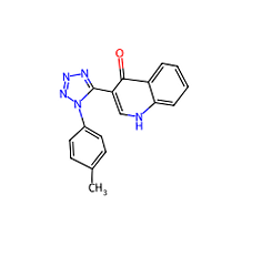 Cc1ccc(-n2nnnc2-c2c[nH]c3ccccc3c2=O)cc1